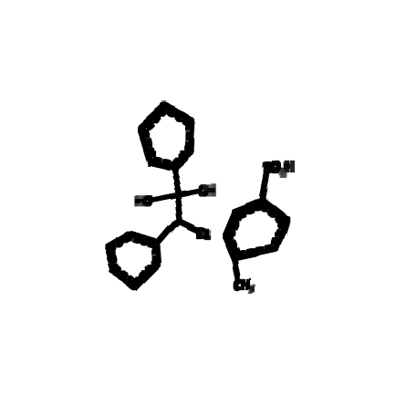 CCC(c1ccccc1)C(O)(O)c1ccccc1.Cc1ccc(S(=O)(=O)O)cc1